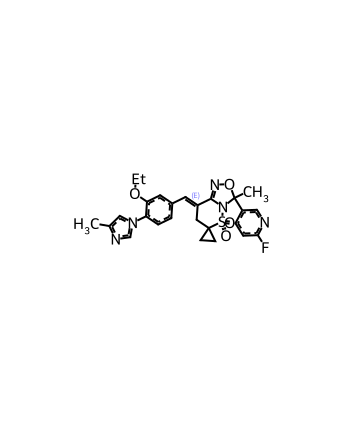 CCOc1cc(/C=C2\CC3(CC3)S(=O)(=O)N3C2=NOC3(C)c2ccc(F)nc2)ccc1-n1cnc(C)c1